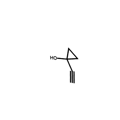 C#CC1(O)CC1